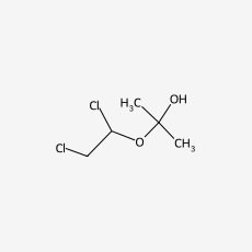 CC(C)(O)OC(Cl)CCl